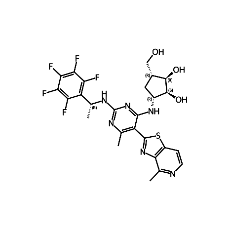 Cc1nc(N[C@H](C)c2c(F)c(F)c(F)c(F)c2F)nc(N[C@@H]2C[C@H](CO)[C@@H](O)[C@H]2O)c1-c1nc2c(C)nccc2s1